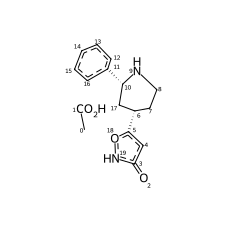 CC(=O)O.O=c1cc([C@H]2CCN[C@@H](c3ccccc3)C2)o[nH]1